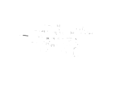 CCCCC(=O)O[C@@]1(C(=O)CO)[C@@H](C)C[C@H]2[C@@H]3CC[C@@H]4CC(=O)CC[C@]4(C)[C@@]3(F)[C@@H](O)C[C@@]21C